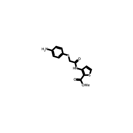 COC(=O)c1sccc1NC(=O)CSc1ccc(N)cc1